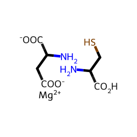 NC(CC(=O)[O-])C(=O)[O-].NC(CS)C(=O)O.[Mg+2]